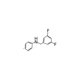 Fc1cc(F)cc(CNc2cc[c]cc2)c1